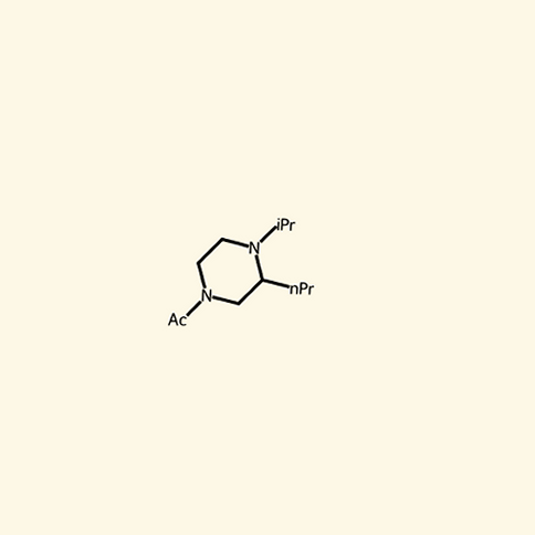 CCCC1CN(C(C)=O)CCN1C(C)C